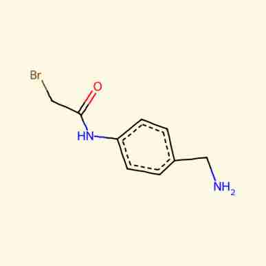 NCc1ccc(NC(=O)CBr)cc1